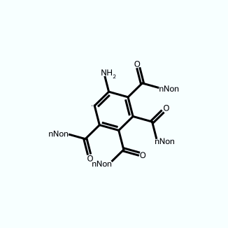 CCCCCCCCCC(=O)c1[c]c(N)c(C(=O)CCCCCCCCC)c(C(=O)CCCCCCCCC)c1C(=O)CCCCCCCCC